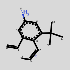 C=Cc1cc(N)cc(C(C)(C)C)c1/C=C\C